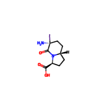 N[C@]1(I)CC[C@@H]2CC[C@@H](C(=O)O)N2C1=O